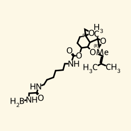 BNCC(=O)NCCCCCCNC(=O)OC1CC[C@]2(CO2)C(C2(C)O[C@@H]2CC=C(C)C)C1OC